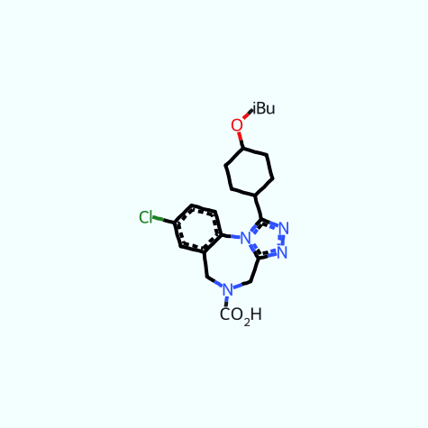 CCC(C)OC1CCC(c2nnc3n2-c2ccc(Cl)cc2CN(C(=O)O)C3)CC1